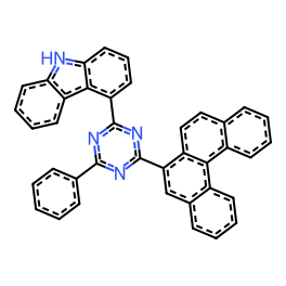 c1ccc(-c2nc(-c3cc4ccccc4c4c3ccc3ccccc34)nc(-c3cccc4[nH]c5ccccc5c34)n2)cc1